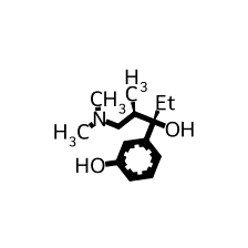 CC[C@@](O)(c1cccc(O)c1)[C@H](C)CN(C)C